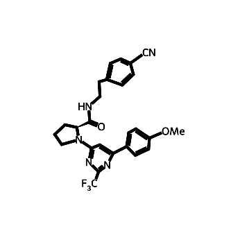 COc1ccc(-c2cc(N3CCC[C@H]3C(=O)NCCc3ccc(C#N)cc3)nc(C(F)(F)F)n2)cc1